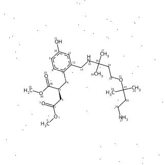 COC(=O)C[C@H](Cc1ccc(O)cc1CNC(C)(C)CCOC(C)(C)CCN)C(=O)OC